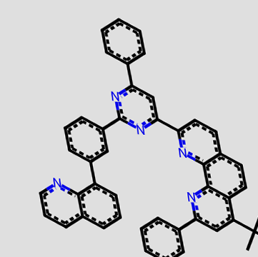 CC(C)(C)c1cc(-c2ccccc2)nc2c1ccc1ccc(-c3cc(-c4ccccc4)nc(-c4cccc(-c5cccc6cccnc56)c4)n3)nc12